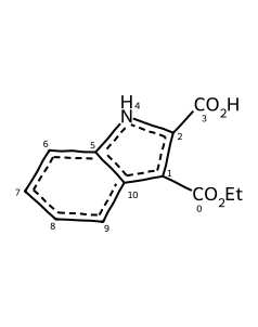 CCOC(=O)c1c(C(=O)O)[nH]c2ccccc12